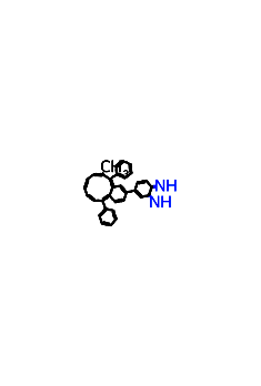 Cc1cccccc(-c2ccccc2)c2ccc(C3=CC(=N)C(=N)C=C3)cc2c1-c1ccccc1